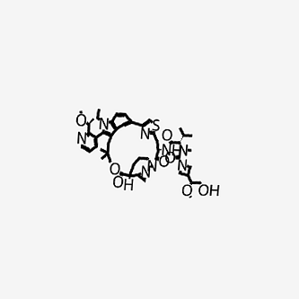 CCn1c(-c2cccnc2[C@H](C)OC)c2c3cc(ccc31)-c1csc(n1)C[C@H](NC(=O)[C@H](C(C)C)N(C)C(=O)N1CC(C(CO)OC)C1)C(=O)N1CCC[C@@H](C(=O)OCC(C)(C)C2)C2CN21